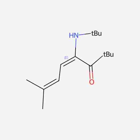 CC(C)=C/C=C(/NC(C)(C)C)C(=O)C(C)(C)C